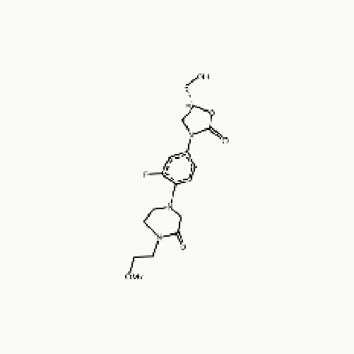 COCCN1CCN(c2ccc(N3C[C@H](CO)OC3=O)cc2F)CC1=O